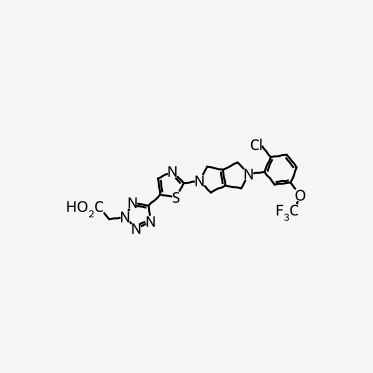 O=C(O)Cn1nnc(-c2cnc(N3CC4=C(C3)CN(c3cc(OC(F)(F)F)ccc3Cl)C4)s2)n1